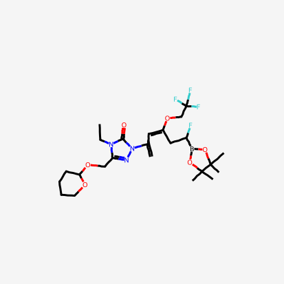 C=C(/C=C(\CC(F)B1OC(C)(C)C(C)(C)O1)OCC(F)(F)F)n1nc(COC2CCCCO2)n(CC)c1=O